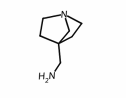 NCC12CCN(CC1)C2